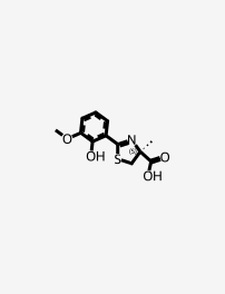 COc1cccc(C2=N[C@@](C)(C(=O)O)CS2)c1O